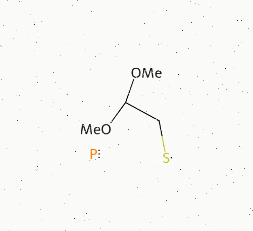 COC(C[S])OC.[P]